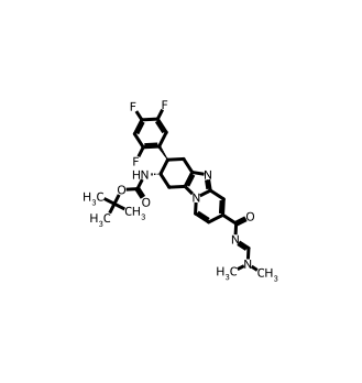 CN(C)C=NC(=O)c1ccn2c3c(nc2c1)C[C@H](c1cc(F)c(F)cc1F)[C@@H](NC(=O)OC(C)(C)C)C3